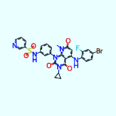 Cn1c(=O)cc(Nc2ccc(Br)cc2F)c2c(=O)n(C3CC3)c(=O)n(-c3cccc(NS(=O)(=O)c4cccnc4)c3)c21